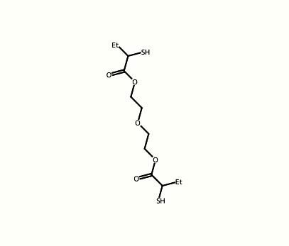 CCC(S)C(=O)OCCOCCOC(=O)C(S)CC